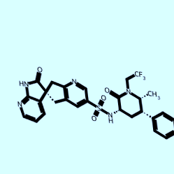 C[C@@H]1[C@H](c2ccccc2)C[C@H](NS(=O)(=O)c2cnc3c(c2)C[C@@]2(C3)C(=O)Nc3ncccc32)C(=O)N1CC(F)(F)F